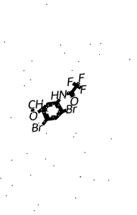 COc1cc(NC(=O)C(F)(F)F)c(Br)cc1Br